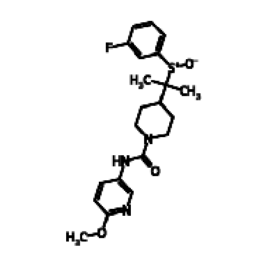 COc1ccc(NC(=O)N2CCC(C(C)(C)[S+]([O-])c3cccc(F)c3)CC2)cn1